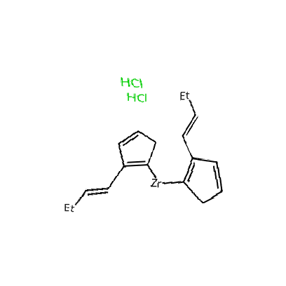 CCC=CC1=[C]([Zr][C]2=C(C=CCC)C=CC2)CC=C1.Cl.Cl